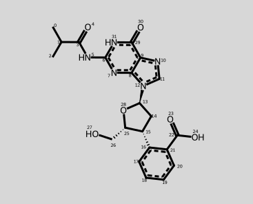 CC(C)C(=O)Nc1nc2c(ncn2[C@H]2C[C@H](c3ccccc3C(=O)O)[C@H](CO)O2)c(=O)[nH]1